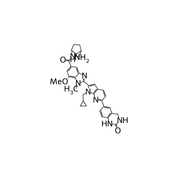 COc1cc(C(=O)N2CC3CCC2[C@@H]3N)cc2nc(-c3cc4ccc(-c5ccc6c(c5)CNC(=O)N6)nc4n3CC3CC3)n(C)c12